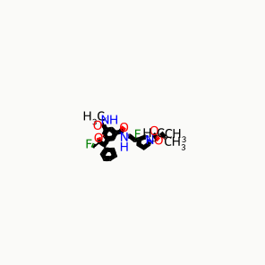 CNC(=O)c1cc(C(=O)NCCC2(F)CCCN(C(=O)OC(C)(C)C)C2)cc2c1O[C@H](CF)[C@H]2c1ccccc1